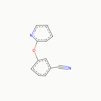 N#Cc1cccc(Oc2cc[c]cn2)c1